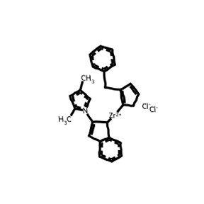 Cc1cc(C)n(C2=Cc3ccccc3[CH]2[Zr+2][C]2=C(Cc3ccccc3)C=CC2)c1.[Cl-].[Cl-]